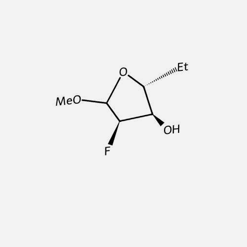 CC[C@H]1OC(OC)[C@H](F)[C@@H]1O